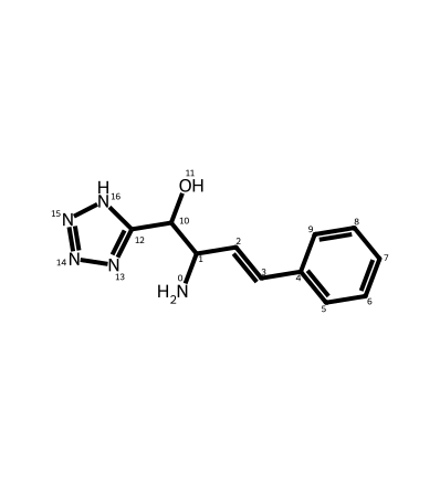 NC(/C=C/c1ccccc1)C(O)c1nnn[nH]1